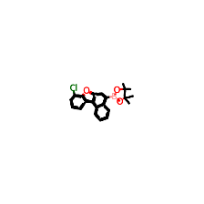 CC1(C)OB(c2cc3oc4c(Cl)cccc4c3c3ccccc23)OC1(C)C